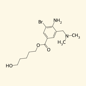 CN(C)Cc1cc(C(=O)OCCCCCO)cc(Br)c1N